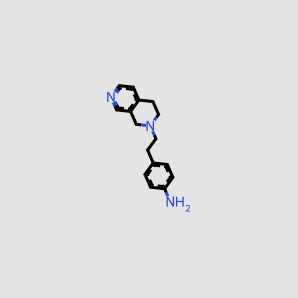 Nc1ccc(CCN2CCc3ccncc3C2)cc1